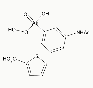 CC(=O)Nc1cccc([As](=O)(O)OO)c1.O=C(O)c1cccs1